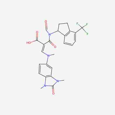 CN(/C=C(/C(=O)O)C(=O)N(C=O)C1CCc2c1cccc2C(F)(F)F)c1ccc2c(c1)n(C)c(=O)n2C